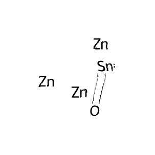 [O]=[Sn].[Zn].[Zn].[Zn]